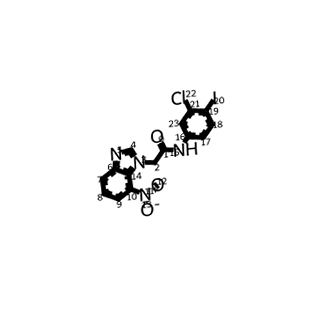 O=C(Cn1cnc2cccc([N+](=O)[O-])c21)Nc1ccc(I)c(Cl)c1